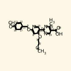 COCCOc1cc(OCc2ccc(OC)cc2)ncc1-c1ncc(C(=O)O)c(C)n1